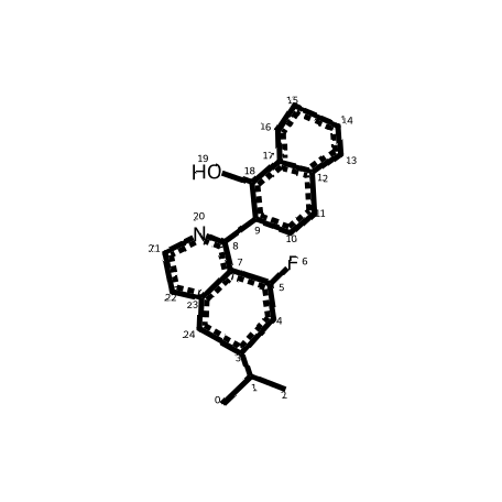 CC(C)c1cc(F)c2c(-c3ccc4ccccc4c3O)nccc2c1